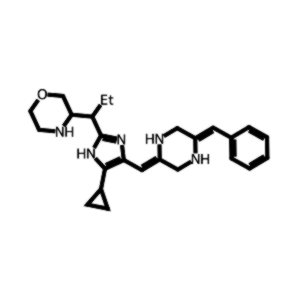 CCC(c1nc(C=C2CNC(=Cc3ccccc3)CN2)c(C2CC2)[nH]1)C1COCCN1